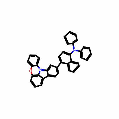 c1ccc(N(c2ccccc2)c2ccc(-c3ccc4c5cccc6c5n(c4c3)-c3ccccc3O6)c3ccccc23)cc1